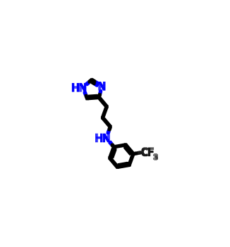 FC(F)(F)c1cccc(NCCCc2c[nH]cn2)c1